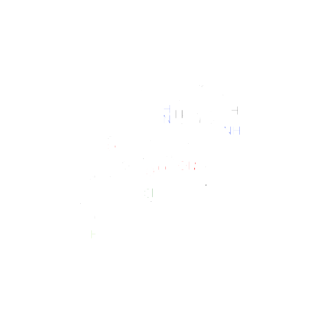 O=C(CC(NC1CCC1)(C(=O)O)C1c2ccccc2N[C@@H]2CCC[C@H]12)C(=O)c1ccc(F)cc1Cl